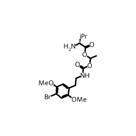 COc1cc(CCNC(=O)OC(C)OC(=O)[C@@H](N)C(C)C)c(OC)cc1Br